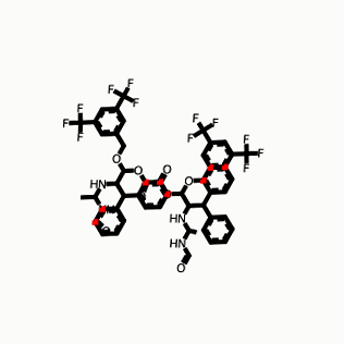 CC(NC=O)NC(C(OCc1cc(C(F)(F)F)cc(C(F)(F)F)c1)OC(=O)C(=O)OC(OCc1cc(C(F)(F)F)cc(C(F)(F)F)c1)C(NC(C)NC=O)C(c1ccccc1)c1ccccc1)C(c1ccccc1)c1ccccc1